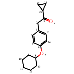 O=C(Cc1ccc(OC2CCCCC2)cc1)C1CC1